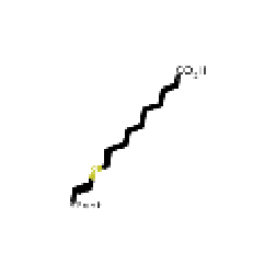 CCCCC/C=C/S/C=C/CCCCCCCC(=O)O